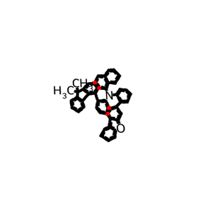 CC1(C)c2ccccc2-c2c(-c3ccccc3N(c3ccccc3-c3ccc4c(c3)oc3ccccc34)c3cccc4ccccc34)cccc21